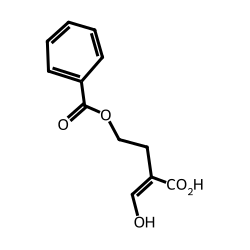 O=C(O)C(=CO)CCOC(=O)c1ccccc1